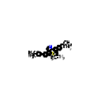 CC(C)Cc1ccc2c(CC(C)(C)C)c3c(cc2c1)-c1nccc2c1c(cc1ccc(C4CCC(C)(C)CC4)cc12)S3